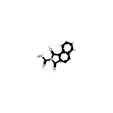 CCCC(=O)N1C(=O)c2ccc3ccccc3c2C1=O